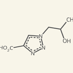 CC(O)Cn1cc(C(=O)O)nn1